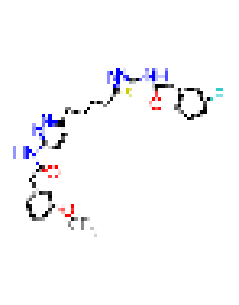 O=C(Cc1cccc(OC(F)(F)F)c1)Nc1ccc(CCCCc2nnc(NC(=O)Cc3cccc(F)c3)s2)nn1